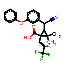 CC1(C)C(C(C#N)c2cccc(Oc3ccccc3)c2)C1(/C=C(\Cl)C(F)(F)F)C(=O)O